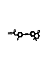 CC1(C)CCC(=O)c2ccc(C#Cc3ccc(CC(=O)O)c(F)c3)cc21